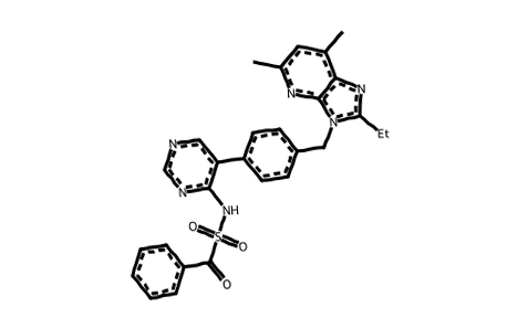 CCc1nc2c(C)cc(C)nc2n1Cc1ccc(-c2cncnc2NS(=O)(=O)C(=O)c2ccccc2)cc1